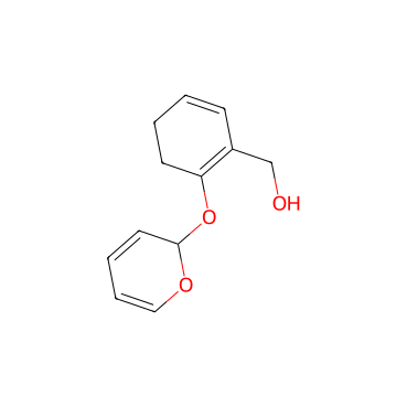 OCC1=C(OC2C=CC=CO2)CCC=C1